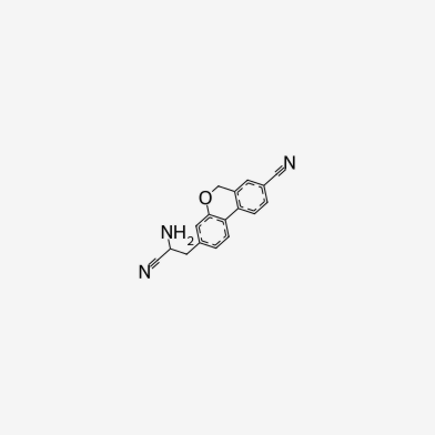 N#Cc1ccc2c(c1)COc1cc(CC(N)C#N)ccc1-2